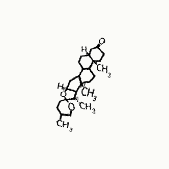 CC1CCC2(OC1)O[C@H]1CC3C4CC[C@@H]5CC(=O)CC[C@]5(C)C4CC[C@]3(C)C1[C@@H]2C